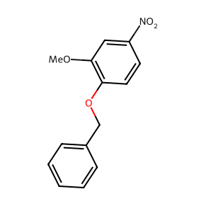 COc1cc([N+](=O)[O-])ccc1OCc1ccccc1